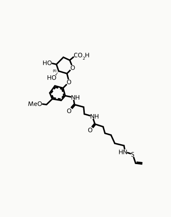 C=CSNCCCCCC(=O)NCCC(=O)Nc1cc(COC)ccc1OC1OC(C(=O)O)CC(O)[C@H]1O